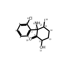 NC1(c2ccccc2Cl)C(=O)C(O)CCC1I